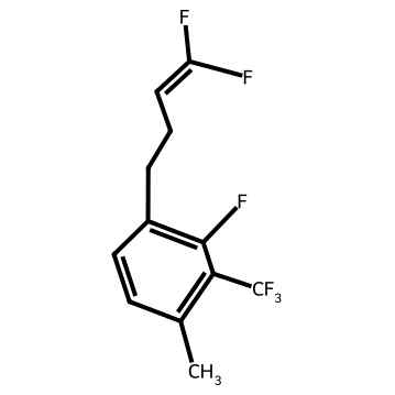 Cc1ccc(CCC=C(F)F)c(F)c1C(F)(F)F